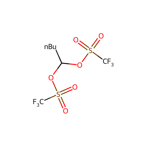 CCCCC(OS(=O)(=O)C(F)(F)F)OS(=O)(=O)C(F)(F)F